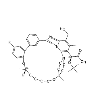 Cc1c([C@H](OC(C)(C)C)C(=O)O)c2n3cc(nc3c1CO)-c1cccc(c1)-c1cc(F)ccc1O[C@@H](C)CCCCOC1(C)CCN2CC1